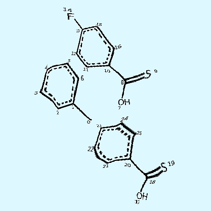 Cc1ccccc1.OC(=S)c1ccc(F)cc1.OC(=S)c1ccccc1